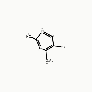 COc1nc(C#N)ncc1F